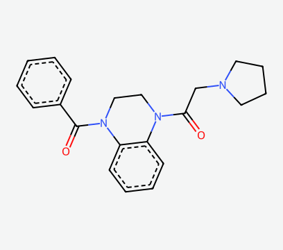 O=C(CN1CCCC1)N1CCN(C(=O)c2ccccc2)c2ccccc21